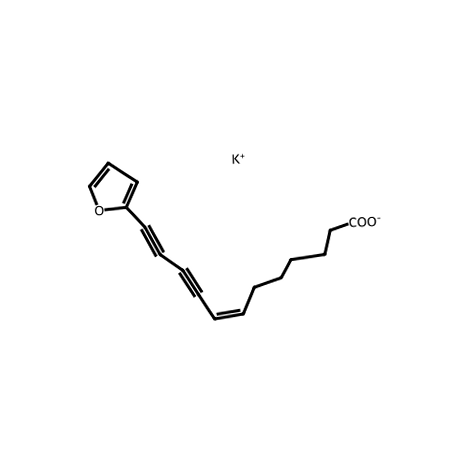 O=C([O-])CCCCC/C=C\C#CC#Cc1ccco1.[K+]